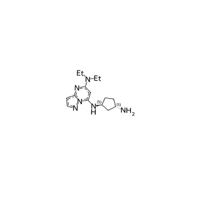 CCN(CC)c1cc(N[C@H]2CC[C@H](N)C2)n2nccc2n1